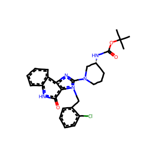 CC(C)(C)OC(=O)N[C@@H]1CCCN(c2nc3c4ccccc4[nH]c(=O)c3n2Cc2ccccc2Cl)C1